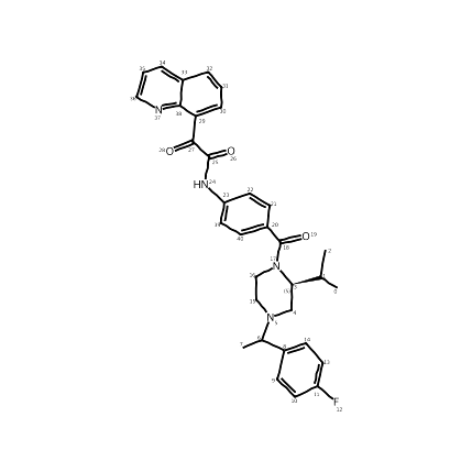 CC(C)[C@H]1CN(C(C)c2ccc(F)cc2)CCN1C(=O)c1ccc(NC(=O)C(=O)c2cccc3cccnc23)cc1